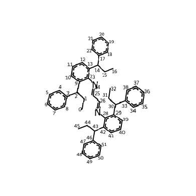 CCC(c1ccccc1)c1cccc(C(CC)c2ccccc2)c1N=CC=Nc1c(C(CC)c2ccccc2)cccc1C(CC)c1ccccc1